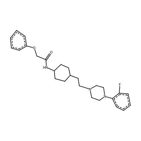 O=C(COc1ccccc1)NC1CCC(CCN2CCN(c3ccccc3F)CC2)CC1